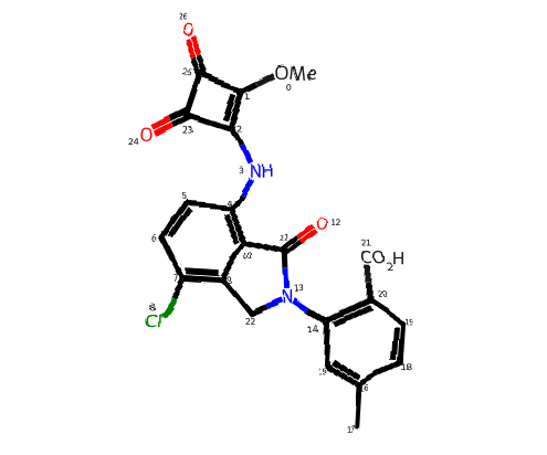 COc1c(Nc2ccc(Cl)c3c2C(=O)N(c2cc(C)ccc2C(=O)O)C3)c(=O)c1=O